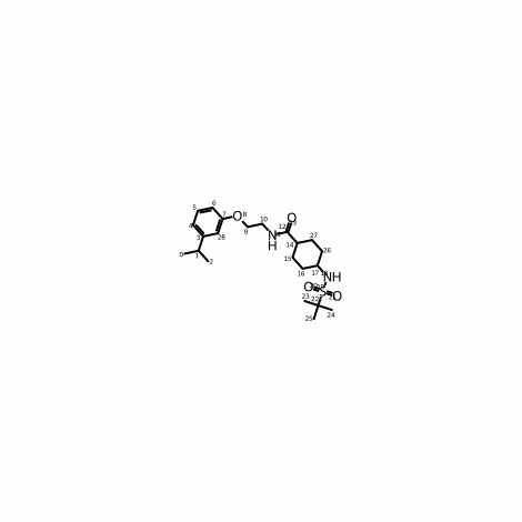 CC(C)c1cccc(OCCNC(=O)C2CCC(NS(=O)(=O)C(C)(C)C)CC2)c1